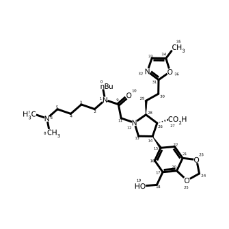 CCCCN(CCCCN(C)C)C(=O)CN1C[C@H](c2cc(CO)c3c(c2)OCO3)[C@@H](C(=O)O)[C@@H]1CCc1ncc(C)o1